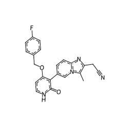 Cc1c(CC#N)nc2ccc(-c3c(OCc4ccc(F)cc4)cc[nH]c3=O)cn12